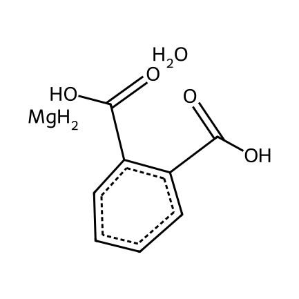 O.O=C(O)c1ccccc1C(=O)O.[MgH2]